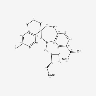 CNC[C@@H]1CC[C@H]1CN1CC2(CCCc3cc(Cl)ccc32)COc2ccc(C(=O)OC)cc21